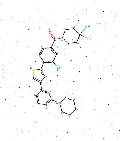 O=C(c1ccc(-c2cc(-c3ccnc(N4CCCCC4)c3)cs2)c(Cl)c1)N1CCC(F)(F)CC1